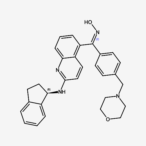 O/N=C(/c1ccc(CN2CCOCC2)cc1)c1cccc2nc(N[C@@H]3CCc4ccccc43)ccc12